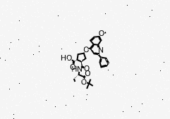 CC[C@H](NC(=O)[C@@H]1C[C@@H](Oc2cc(-c3ccccc3)nc3cc(OC)ccc23)C[C@H]1C(=O)O)C(=O)OC(C)(C)C